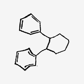 [c]1ccccc1C1CCCCC1c1[c]cccc1